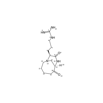 N=C(N)NCCC[C@H]1C(=O)N[C@@H]2CN1CCCCC2=O